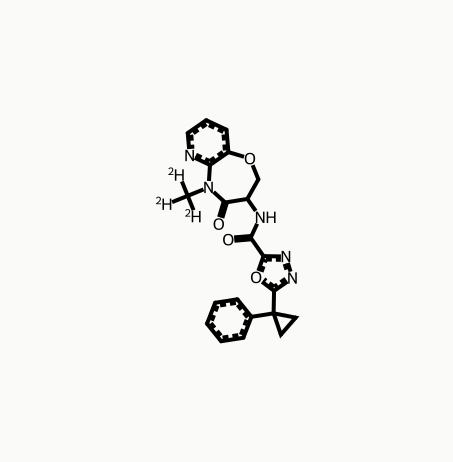 [2H]C([2H])([2H])N1C(=O)C(NC(=O)c2nnc(C3(c4ccccc4)CC3)o2)COc2cccnc21